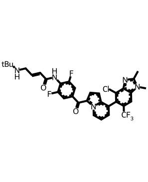 Cc1nc2c(Cl)c(-c3cccn4c(C(=O)c5cc(F)c(NC(=O)/C=C/CNC(C)(C)C)c(F)c5)ccc34)c(C(F)(F)F)cc2n1C